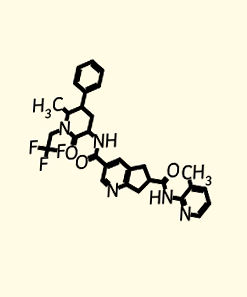 Cc1cccnc1NC(=O)C1Cc2cc(C(=O)NC3CC(c4ccccc4)C(C)N(CC(F)(F)F)C3=O)cnc2C1